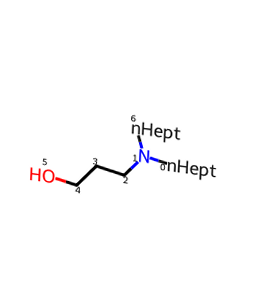 CCCCCCCN(CCCO)CCCCCCC